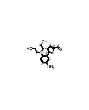 Nc1ccc(N(CCO)CCO)c(-c2ccc(C=O)o2)c1